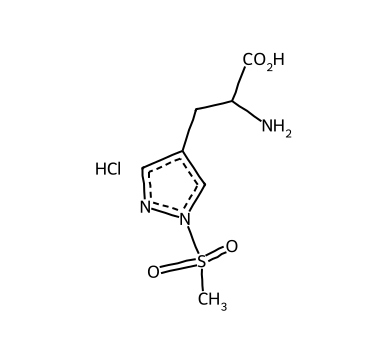 CS(=O)(=O)n1cc(CC(N)C(=O)O)cn1.Cl